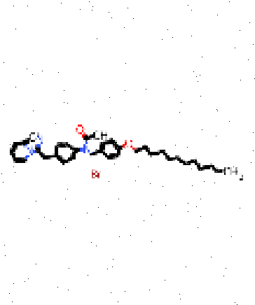 CCCCCCCCCCCCOc1ccc(CN(C(C)=O)c2ccc(CC3=N[C+]=C4C=CC=CN43)cc2)cc1.[Br-]